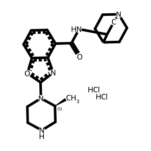 C[C@H]1CNCCN1c1nc2c(C(=O)NC3CN4CCC3CC4)cccc2o1.Cl.Cl